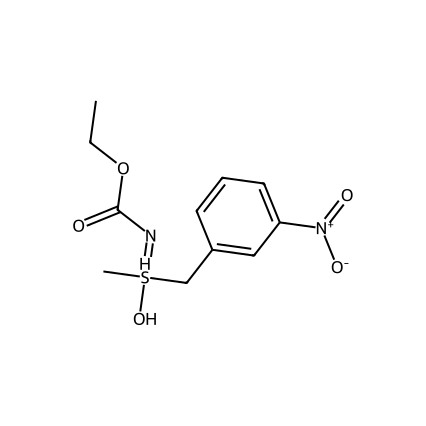 CCOC(=O)N=[SH](C)(O)Cc1cccc([N+](=O)[O-])c1